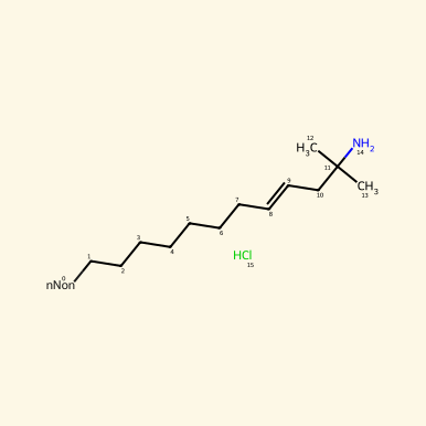 CCCCCCCCCCCCCCCCC=CCC(C)(C)N.Cl